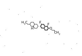 C=CCOc1ccc2cc([C@@H]3CC[C@@H]4CC(CC)CCC4C3)c(F)cc2c1F